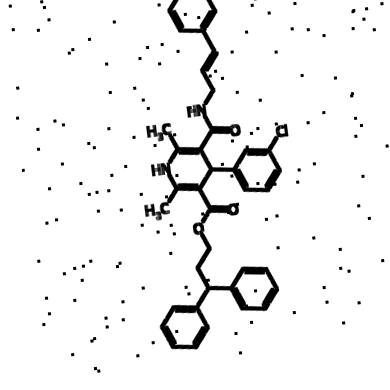 CC1=C(C(=O)NC/C=C/c2ccccc2)C(c2cccc(Cl)c2)C(C(=O)OCCC(c2ccccc2)c2ccccc2)=C(C)N1